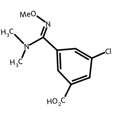 CON=C(c1cc(Cl)cc(C(=O)O)c1)N(C)C